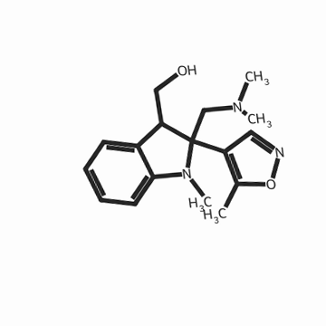 Cc1oncc1C1(CN(C)C)C(CO)c2ccccc2N1C